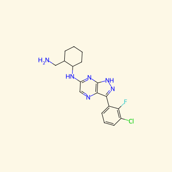 NCC1CCCCC1Nc1cnc2c(-c3cccc(Cl)c3F)n[nH]c2n1